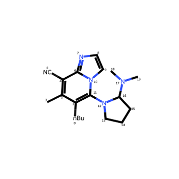 CCCCc1c(C)c(C#N)c2nccn2c1N1CCCC1N(C)C